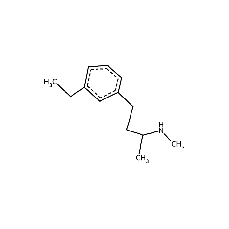 CCc1cccc(CCC(C)NC)c1